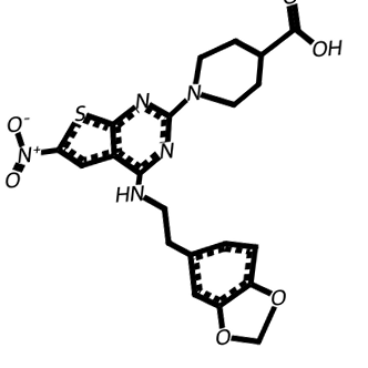 O=C(O)C1CCN(c2nc(NCCc3ccc4c(c3)OCO4)c3cc([N+](=O)[O-])sc3n2)CC1